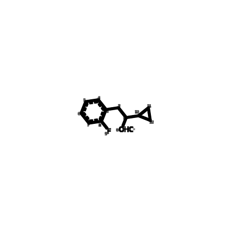 O=[C]C(Cc1ccccc1F)C1CC1